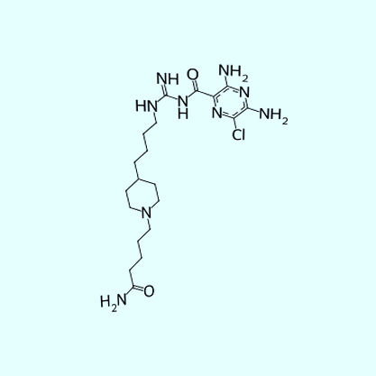 N=C(NCCCCC1CCN(CCCCC(N)=O)CC1)NC(=O)c1nc(Cl)c(N)nc1N